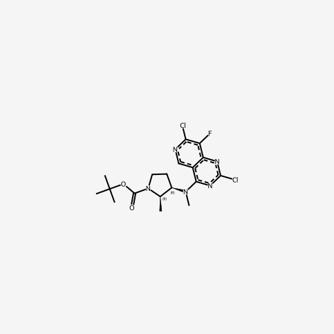 C[C@@H]1[C@H](N(C)c2nc(Cl)nc3c(F)c(Cl)ncc23)CCN1C(=O)OC(C)(C)C